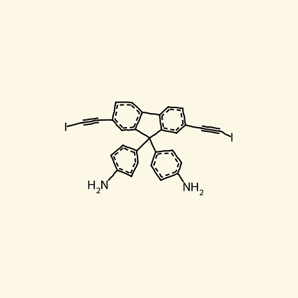 Nc1ccc(C2(c3ccc(N)cc3)c3cc(C#CI)ccc3-c3ccc(C#CI)cc32)cc1